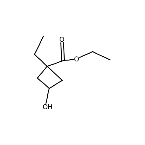 CCOC(=O)C1(CC)CC(O)C1